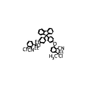 CCC(C)(Cl)c1cccc(Oc2ccc(C3(c4ccc(OC(CC)(CC)c5cccc(Cl)c5C#N)cc4)c4ccccc4-c4ccccc43)cc2)c1C#N